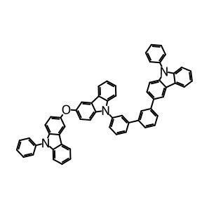 c1ccc(-n2c3ccccc3c3cc(Oc4ccc5c(c4)c4ccccc4n5-c4cccc(-c5cccc(-c6ccc7c(c6)c6ccccc6n7-c6ccccc6)c5)c4)ccc32)cc1